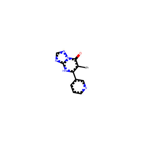 CC(C)c1c(-c2cccnc2)[nH]c2ncnn2c1=O